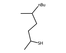 CCCCC(C)CCC(C)S